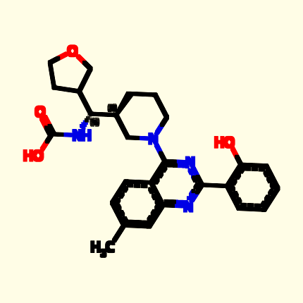 Cc1ccc2c(N3CCC[C@H]([C@H](NC(=O)O)C4CCOC4)C3)nc(-c3ccccc3O)nc2c1